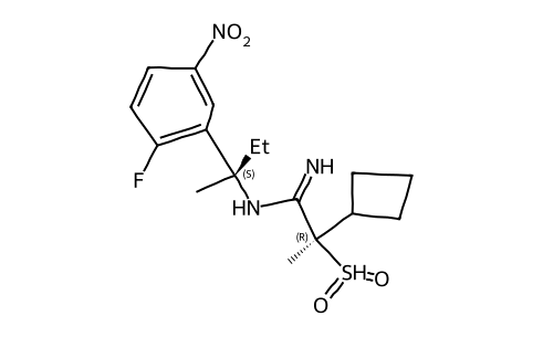 CC[C@](C)(NC(=N)[C@@](C)(C1CCC1)[SH](=O)=O)c1cc([N+](=O)[O-])ccc1F